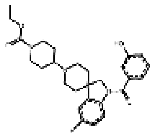 CCOC(=O)N1CCC(N2CCC3(CC2)CN(C(=O)c2cccc(O)c2)c2ccc(F)cc23)CC1